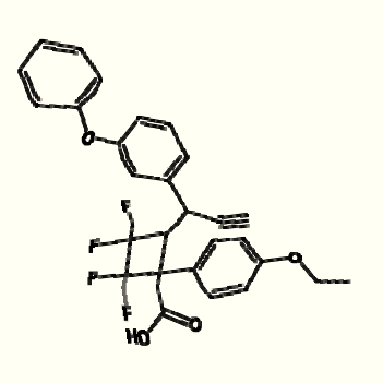 C#CC(c1cccc(Oc2ccccc2)c1)C1C(F)(F)C(F)(F)C1(C(=O)O)c1ccc(OCC)cc1